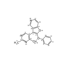 Cc1ncc(-c2c(Oc3ccccc3)oc3ccncc23)c(C)n1